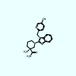 N#Cc1ccc(Cn2c(N3CCC[C@@](N)(C(N)=O)C3)nc3ccccc32)nc1